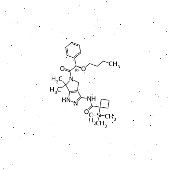 CCCCO[C@@H](C(=O)N1Cc2c(NC(=O)C3([Si](C)(C)C)CCC3)n[nH]c2C1(C)C)c1ccccc1